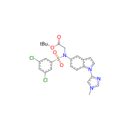 Cn1cnc(-n2ccc3cc(N(CC(=O)OC(C)(C)C)S(=O)(=O)c4cc(Cl)cc(Cl)c4)ccc32)c1